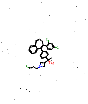 CC(O)(c1ccc(C2=C(c3ccc(Cl)cc3Cl)CCCc3ccccc32)cc1)C1CN(CCCF)C1